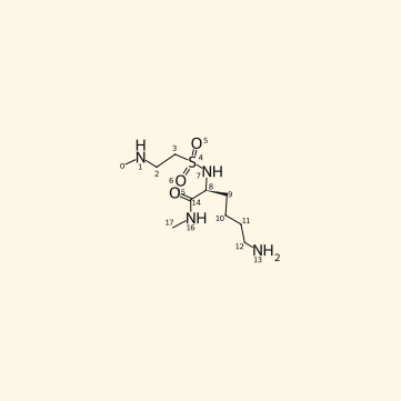 CNCCS(=O)(=O)N[C@@H](CCCCN)C(=O)NC